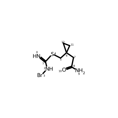 N=C(NBr)SCC1(CC(N)=O)CC1